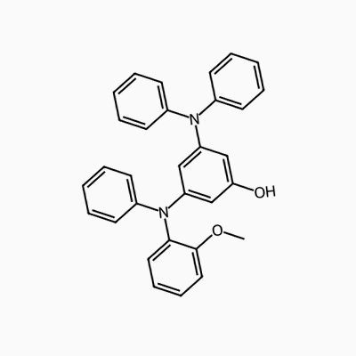 COc1ccccc1N(c1ccccc1)c1cc(O)cc(N(c2ccccc2)c2ccccc2)c1